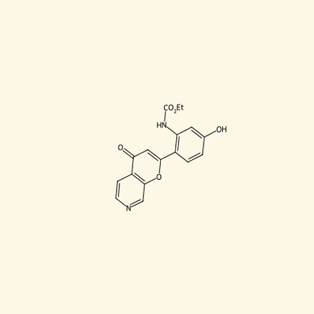 CCOC(=O)Nc1cc(O)ccc1-c1cc(=O)c2ccncc2o1